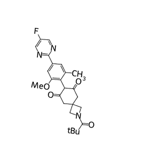 COc1cc(-c2ncc(F)cn2)cc(C)c1C1C(=O)CC2(CC1=O)CN(C(=O)C(C)(C)C)C2